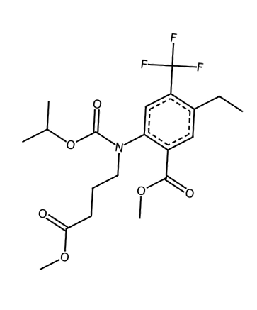 CCc1cc(C(=O)OC)c(N(CCCC(=O)OC)C(=O)OC(C)C)cc1C(F)(F)F